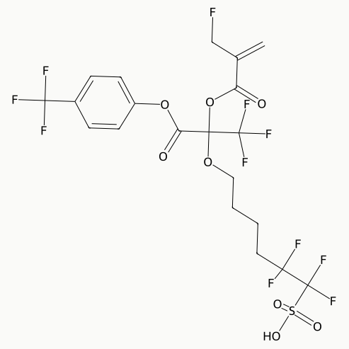 C=C(CF)C(=O)OC(OCCCCC(F)(F)C(F)(F)S(=O)(=O)O)(C(=O)Oc1ccc(C(F)(F)F)cc1)C(F)(F)F